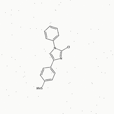 CSc1ccc(-c2cn(-c3ccccc3)c(Cl)n2)cc1